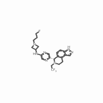 FCCCN1CC(Nc2cnc([C@@H]3c4ccc5[nH]ncc5c4CCN3CC(F)(F)F)cn2)C1